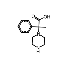 CC(C(=O)O)(c1ccccc1)N1CCNCC1